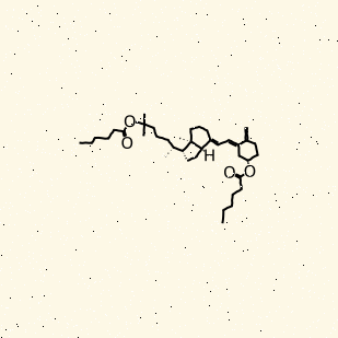 C=C1CC[C@H](OC(=O)CCCCC)CC1=CC=C1CCC[C@@]2(C)[C@@H]1CC[C@@H]2[C@H](C)CCCC(C)(C)OC(=O)CCCCC